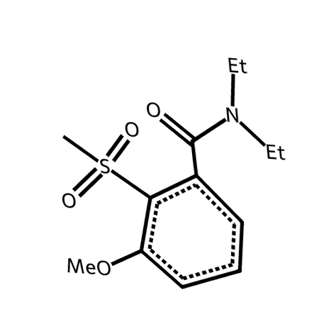 CCN(CC)C(=O)c1cccc(OC)c1S(C)(=O)=O